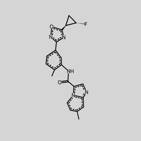 Cc1ccn2c(C(=O)Nc3cc(-c4noc([C@H]5C[C@@H]5F)n4)ccc3C)cnc2c1